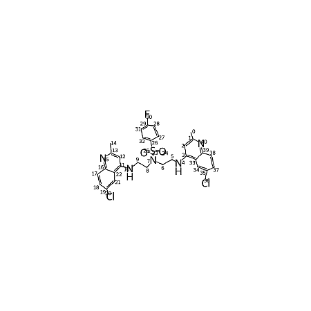 Cc1cc(NCCN(CCNc2cc(C)nc3ccc(Cl)cc23)S(=O)(=O)c2ccc(F)cc2)c2cc(Cl)ccc2n1